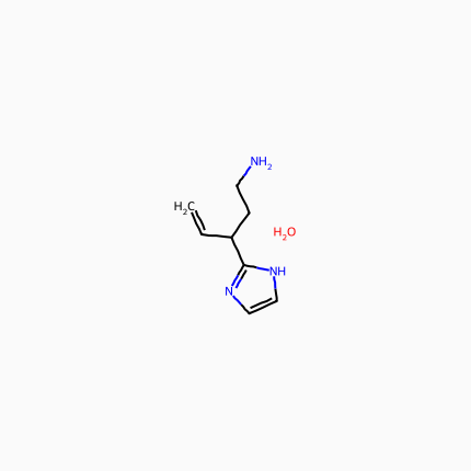 C=CC(CCN)c1ncc[nH]1.O